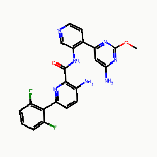 COc1nc(N)cc(-c2ccncc2NC(=O)c2nc(-c3c(F)cccc3F)ccc2N)n1